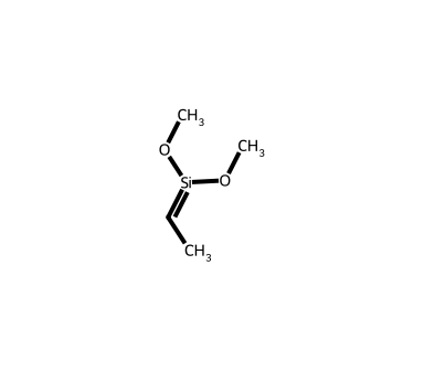 CC=[Si](OC)OC